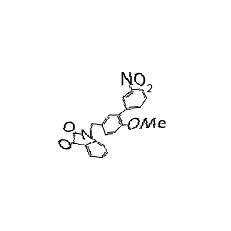 COc1ccc(CN2C(=O)C(=O)c3ccccc32)cc1-c1cccc([N+](=O)[O-])c1